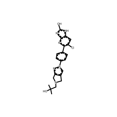 CC(C)(O)CN1Cc2cn(-c3ccc(-c4nc5nc(O)[nH]c5cc4Cl)cc3)nc2C1